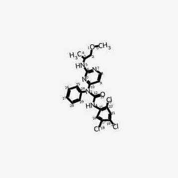 COCC(C)Nc1nccc(N(C(=O)Nc2cc(Cl)c(Cl)cc2Cl)c2ccccc2)n1